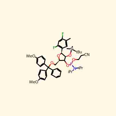 COc1ccc(C(OC[C@H]2O[C@@H](c3cc(C)c(F)cc3F)[C@@H](O[Si](C)(C)C(C)(C)C)C2OP(OCCC#N)N(C(C)C)C(C)C)(c2ccccc2)c2ccc(OC)cc2)cc1